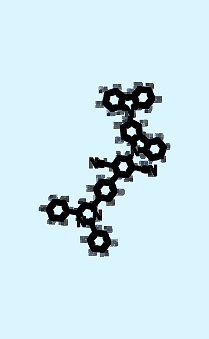 N#Cc1cc(-n2c3ccccc3c3cc(-n4c5ccccc5c5ccccc54)ccc32)c(C#N)cc1-c1ccc(-c2cc(-c3ccccc3)nc(-c3ccccc3)n2)cc1